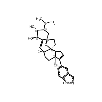 CN(C)[C@H]1C[C@@]23CC[C@]4(O2)C2CC=C(c5ccc6[nH]ncc6c5)[C@@]2(C)CCC4(Cl)C=C3[C@@H](O)[C@@H]1O